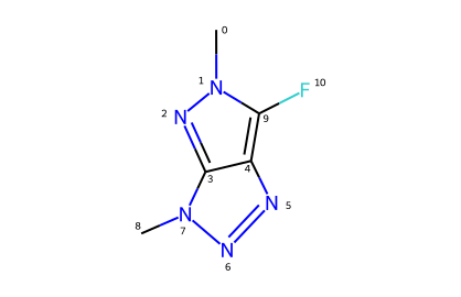 Cn1nc2c(nnn2C)c1F